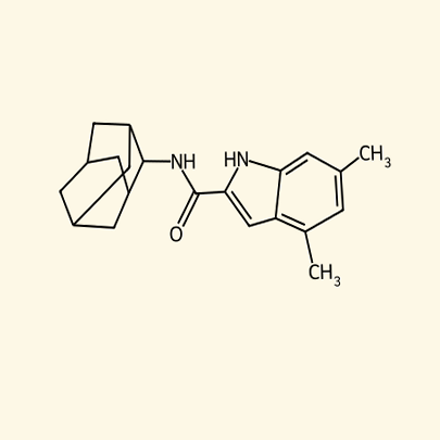 Cc1cc(C)c2cc(C(=O)NC3C4CC5CC(C4)CC3C5)[nH]c2c1